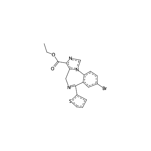 CCOC(=O)c1ncn2c1CN=C(c1cccs1)c1cc(Br)ccc1-2